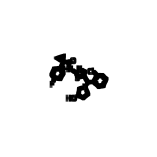 O=C(Nc1ncc(C(c2ccccc2Cl)N2CC[C@@H](O)C2)s1)C1(c2ccc(F)cc2)CC1